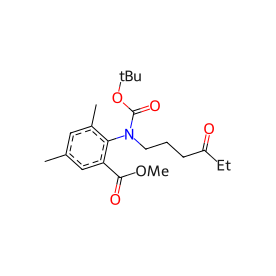 CCC(=O)CCCN(C(=O)OC(C)(C)C)c1c(C)cc(C)cc1C(=O)OC